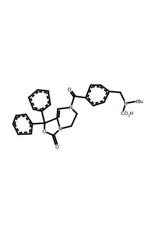 CC(C)(C)N(Cc1ccc(C(=O)N2C=C3N(CC2)C(=O)OC3(c2ccccc2)c2ccccc2)cc1)C(=O)O